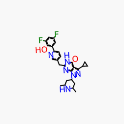 CC1CC(n2nc(C3CC3)c3c(=O)[nH]c(Cc4ccc(-c5cc(F)cc(F)c5O)nc4)nc32)CC(C)N1